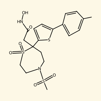 Cc1ccc(-c2ccc(C3(CC(=O)NO)CCN(S(C)(=O)=O)CCS3(=O)=O)s2)cc1